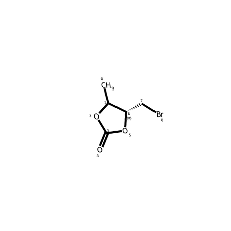 CC1OC(=O)O[C@H]1CBr